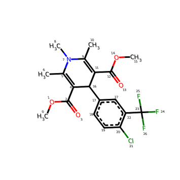 COC(=O)C1=C(C)N(C)C(C)=C(C(=O)OC)C1c1ccc(Cl)c(C(F)(F)F)c1